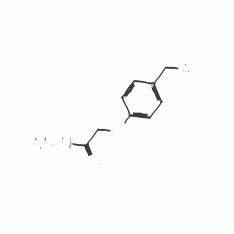 CNC(=O)COc1ccc(CC(C)=O)cc1